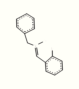 [O-][N+](=Cc1ccccc1Br)Cc1ccccc1